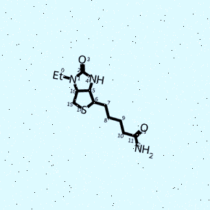 CCN1C(=O)NC2C(CCCCC(N)=O)SCC21